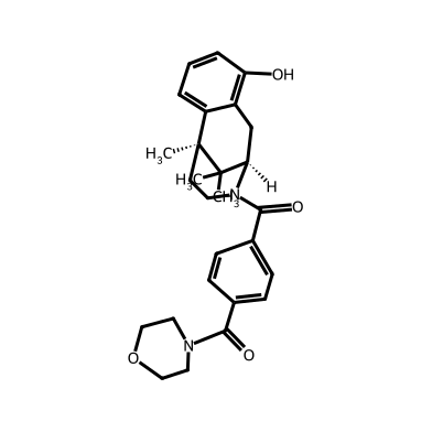 CC1(C)[C@H]2Cc3c(O)cccc3[C@]1(C)CCN2C(=O)c1ccc(C(=O)N2CCOCC2)cc1